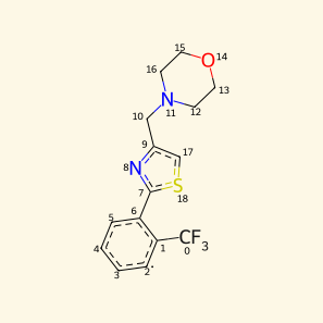 FC(F)(F)c1[c]cccc1-c1nc(CN2CCOCC2)cs1